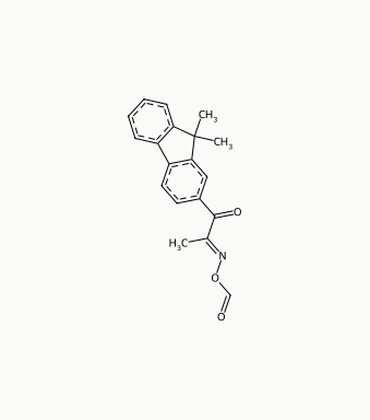 C/C(=N\OC=O)C(=O)c1ccc2c(c1)C(C)(C)c1ccccc1-2